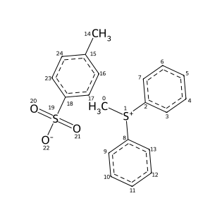 C[S+](c1ccccc1)c1ccccc1.Cc1ccc(S(=O)(=O)[O-])cc1